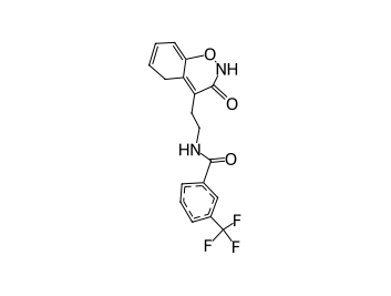 O=C1NOC2=CC=CCC2=C1CCNC(=O)c1cccc(C(F)(F)F)c1